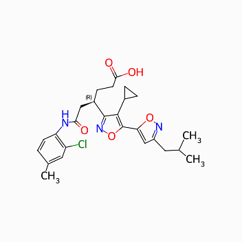 Cc1ccc(NC(=O)C[C@@H](CCC(=O)O)c2noc(-c3cc(CC(C)C)no3)c2C2CC2)c(Cl)c1